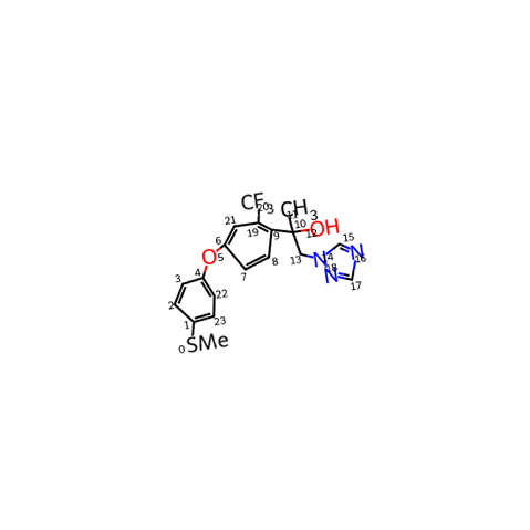 CSc1ccc(Oc2ccc(C(C)(O)Cn3cncn3)c(C(F)(F)F)c2)cc1